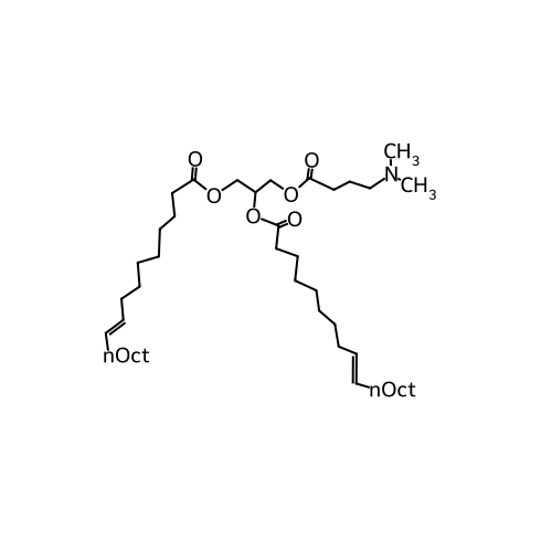 CCCCCCCCC=CCCCCCCCC(=O)OCC(COC(=O)CCCN(C)C)OC(=O)CCCCCCCC=CCCCCCCCC